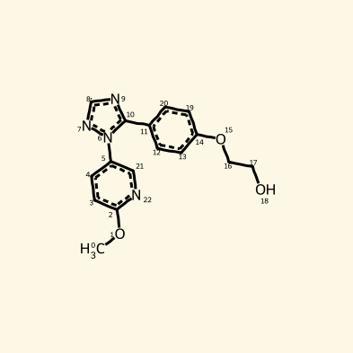 COc1ccc(-n2n[c]nc2-c2ccc(OCCO)cc2)cn1